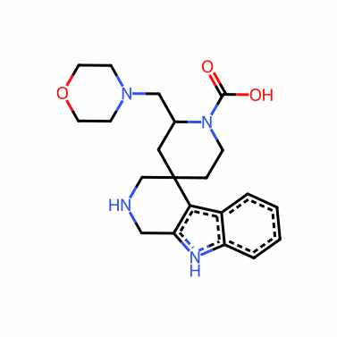 O=C(O)N1CCC2(CNCc3[nH]c4ccccc4c32)CC1CN1CCOCC1